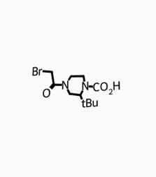 CC(C)(C)C1CN(C(=O)CBr)CCN1C(=O)O